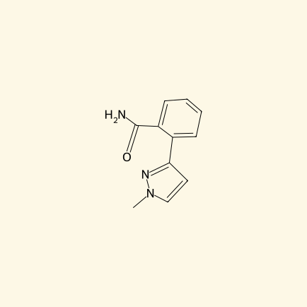 Cn1ccc(-c2ccccc2C(N)=O)n1